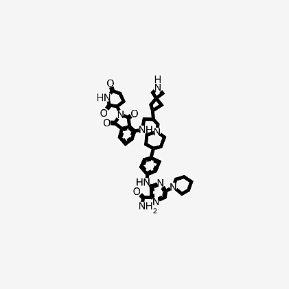 NC(=O)c1ncc(N2CCCCC2)nc1Nc1ccc(C2CCN(CC(CNc3cccc4c3C(=O)N(C3CCC(=O)NC3=O)C4=O)C3CC4(CNC4)C3)CC2)cc1